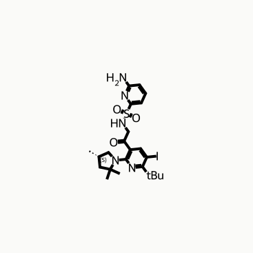 C[C@@H]1CN(c2nc(C(C)(C)C)c(I)cc2C(=O)CNS(=O)(=O)c2cccc(N)n2)C(C)(C)C1